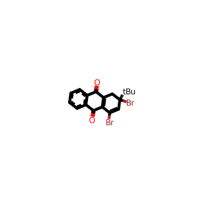 CC(C)(C)C1(Br)C=C(Br)C2=C(C1)C(=O)c1ccccc1C2=O